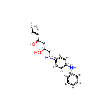 CC=CC(=O)CC(O)CNc1ccc(Nc2ccccc2)cc1